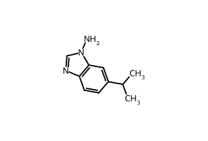 CC(C)c1ccc2ncn(N)c2c1